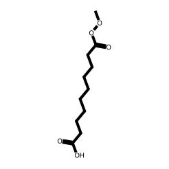 COOC(=O)CCCCCCCCC(=O)O